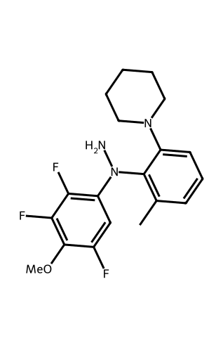 COc1c(F)cc(N(N)c2c(C)cccc2N2CCCCC2)c(F)c1F